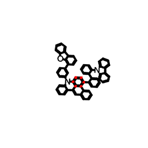 c1cc(-c2cccc3c2oc2ccccc23)cc(N(c2ccc(-c3ccccc3-c3ccccc3-n3c4ccccc4c4ccccc43)cc2)c2ccccc2-c2cc3ccccc3c3ccccc23)c1